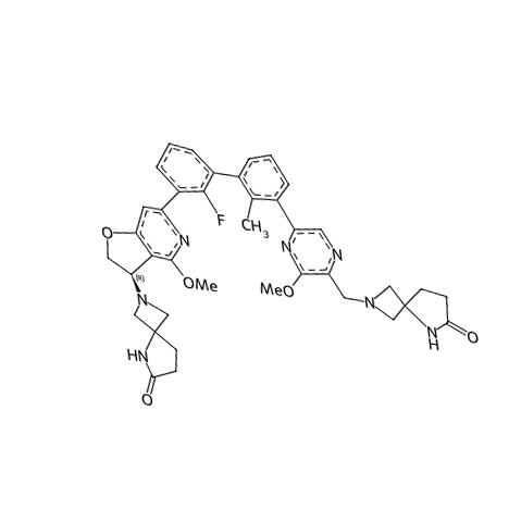 COc1nc(-c2cccc(-c3cccc(-c4cc5c(c(OC)n4)[C@@H](N4CC6(CCC(=O)N6)C4)CO5)c3F)c2C)cnc1CN1CC2(CCC(=O)N2)C1